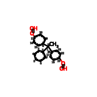 CC(c1ccccc1)(c1ccc(OO)cc1)c1ccc(OO)cc1